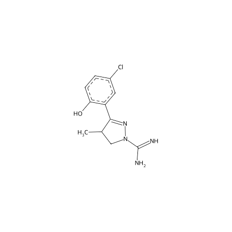 CC1CN(C(=N)N)N=C1c1cc(Cl)ccc1O